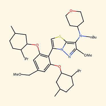 CCCCN(c1c(OC)nn2c(-c3c(OC4CC(C)CCC4C(C)C)cc(COC)cc3OC3CC(C)CCC3C(C)C)csc12)C1CCOCC1